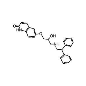 O=c1ccc2cc(OCC(O)CNCC(c3ccccc3)c3ccccc3)ccc2[nH]1